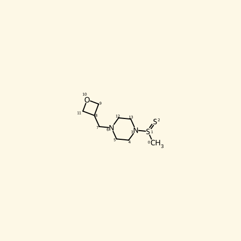 CS(=S)N1CCN(CC2COC2)CC1